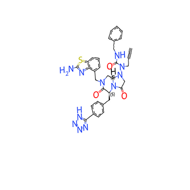 C#CCN(C(=O)NCc1ccccc1)N1CC(=O)N2[C@@H](Cc3ccc(-c4nnn[nH]4)cc3)C(=O)N(Cc3cccc4sc(N)nc34)C[C@@H]21